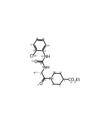 CCOC(=O)C1CCN(C(=O)[C@H](C)NC(=O)Nc2ccccc2Cl)CC1